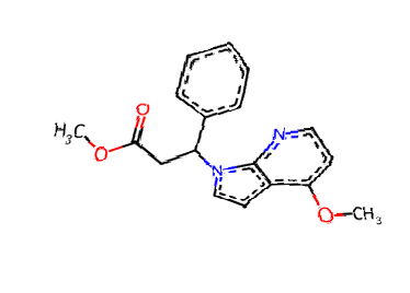 COC(=O)CC(c1ccccc1)n1ccc2c(OC)ccnc21